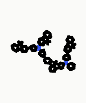 CC1(C)c2ccccc2-c2ccc(-c3ccc(N(c4ccc(-c5ccc(-c6cccc7c6C(C)(C)c6cc(N(c8ccccc8)c8ccc(-c9ccc%10c(c9)C(C)(C)c9ccccc9-%10)cc8)ccc6-7)cc5)cc4)c4ccc5c(c4)C(C)(C)c4ccccc4-5)cc3)cc21